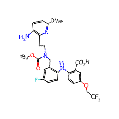 COc1ccc(N)c(CCN(Cc2cc(F)ccc2Nc2ccc(OCC(F)(F)F)cc2C(=O)O)C(=O)OC(C)(C)C)n1